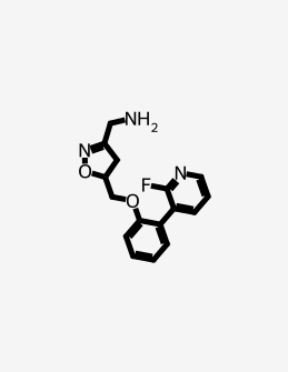 NCC1=NOC(COc2ccccc2-c2cccnc2F)C1